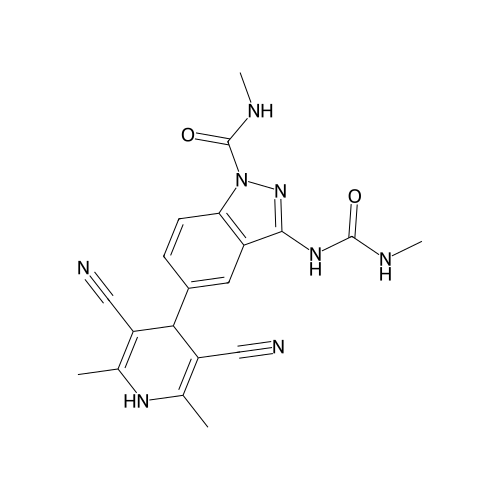 CNC(=O)Nc1nn(C(=O)NC)c2ccc(C3C(C#N)=C(C)NC(C)=C3C#N)cc12